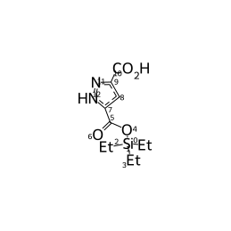 CC[Si](CC)(CC)OC(=O)c1cc(C(=O)O)n[nH]1